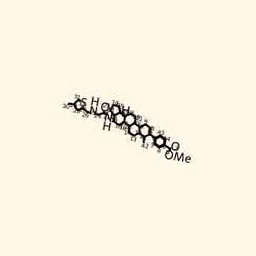 COC(=O)c1ccc(C2=CC[C@@]3(C)C(CC[C@@]4(C)C5CC[C@@]6(NC(=O)CNCC7CC(C)CS7)CCCC6[C@H]5CCC34)C2C)cc1